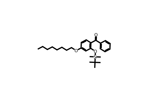 CCCCCCCCOc1ccc(C(=O)c2ccccc2)c(O[Si](C)(C)C(C)(C)C)c1